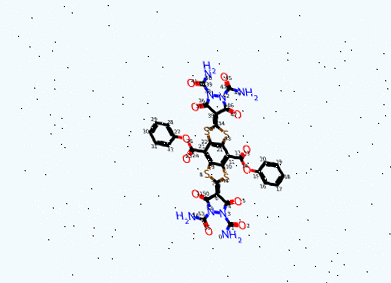 NC(=O)N1C(=O)C(=C2Sc3c(c(C(=O)Oc4ccccc4)c4c(c3C(=O)Oc3ccccc3)SC(=C3C(=O)N(C(N)=O)N(C(N)=O)C3=O)S4)S2)C(=O)N1C(N)=O